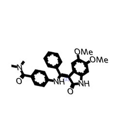 COc1cc2c(cc1OC)/C(=C(/Nc1ccc(C(=O)N(C)C)cc1)c1ccccc1)C(=O)N2